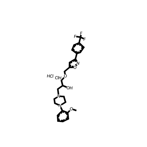 COc1ccccc1N1CCN(CC(O)COCc2cc(-c3ccc(C(F)(F)F)cc3)no2)CC1.Cl.Cl